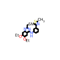 CCOc1cc2nc(CSC)nc(Nc3cccc(-c4csc(C)n4)c3)c2cc1OCC